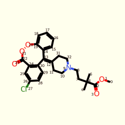 COC(=O)C(C)(C)CCN1CCC(=C2c3ccccc3OOC(=O)c3cc(Cl)ccc32)CC1